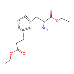 CCOC(=O)CCc1cccc(CC(N)C(=O)OCC)c1